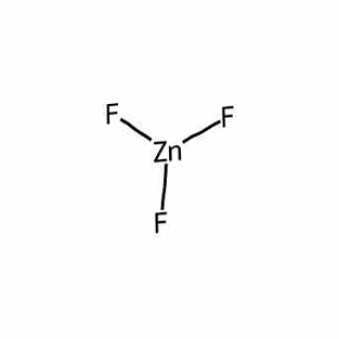 [F][Zn]([F])[F]